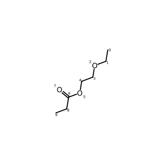 CCOCCOC(=O)CC